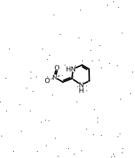 O=[N+]([O-])C=C1NC=CCN1